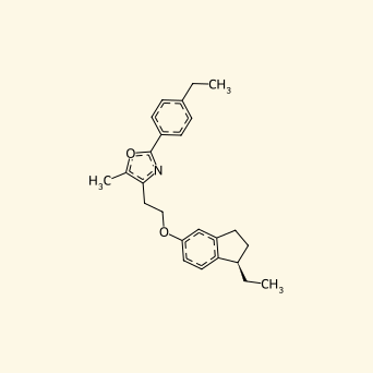 CCc1ccc(-c2nc(CCOc3ccc4c(c3)CC[C@H]4CC)c(C)o2)cc1